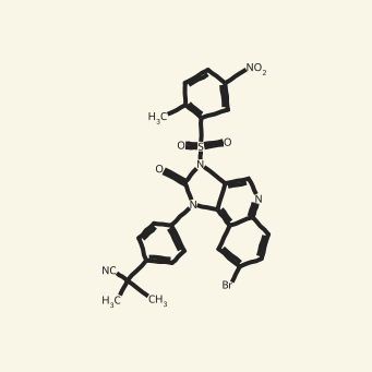 Cc1ccc([N+](=O)[O-])cc1S(=O)(=O)n1c(=O)n(-c2ccc(C(C)(C)C#N)cc2)c2c3cc(Br)ccc3ncc21